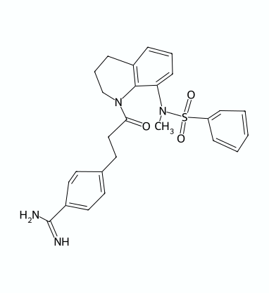 CN(c1cccc2c1N(C(=O)CCc1ccc(C(=N)N)cc1)CCC2)S(=O)(=O)c1ccccc1